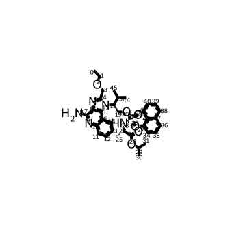 CCOCc1nc2c(N)nc3ccccc3c2n1[C@H](COP(=O)(N[C@@H](C)C(=O)OC(C)C)Oc1cccc2ccccc12)C(C)C